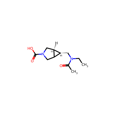 CCN(C[C@@H]1C2CN(C(=O)O)C[C@H]21)C(C)=O